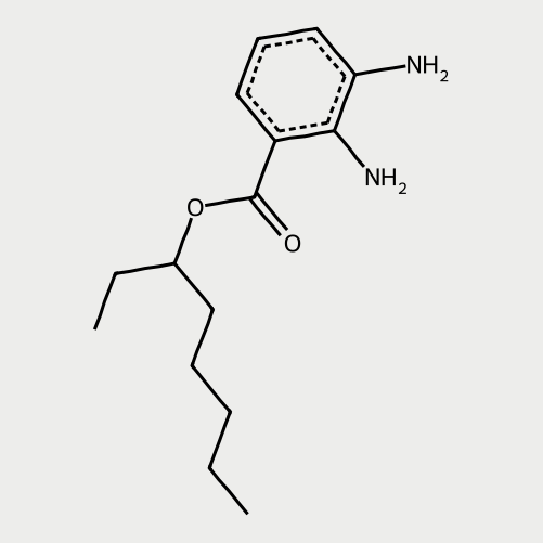 CCCCCC(CC)OC(=O)c1cccc(N)c1N